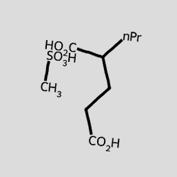 CCCC(CCC(=O)O)C(=O)O.CS(=O)(=O)O